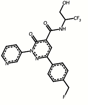 O=C(NC(CO)C(F)(F)F)c1cc(-c2ccc(CF)cc2)nn(-c2cccnc2)c1=O